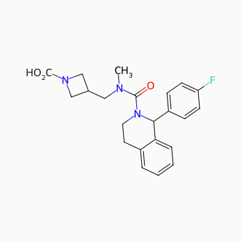 CN(CC1CN(C(=O)O)C1)C(=O)N1CCc2ccccc2C1c1ccc(F)cc1